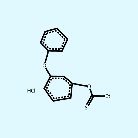 CCC(=S)Oc1cccc(Oc2ccccc2)c1.Cl